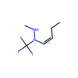 CC/C=C\N(NC)C(I)(I)I